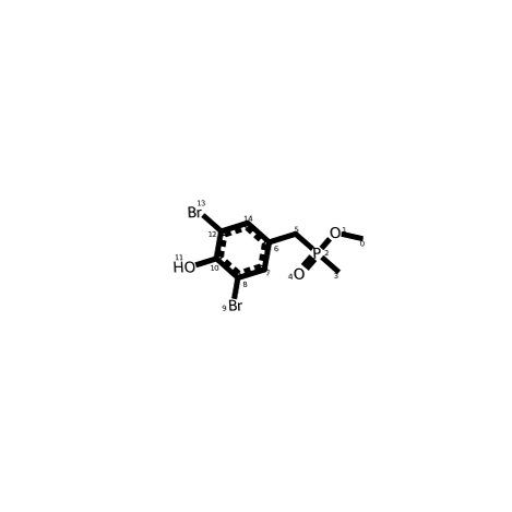 COP(C)(=O)Cc1cc(Br)c(O)c(Br)c1